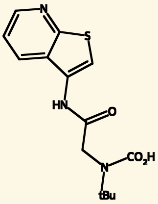 CC(C)(C)N(CC(=O)Nc1csc2ncccc12)C(=O)O